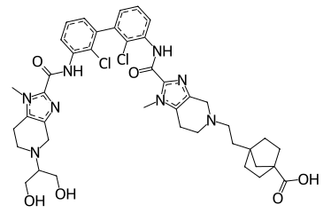 Cn1c(C(=O)Nc2cccc(-c3cccc(NC(=O)c4nc5c(n4C)CCN(C(CO)CO)C5)c3Cl)c2Cl)nc2c1CCN(CCC13CCC(C(=O)O)(CC1)C3)C2